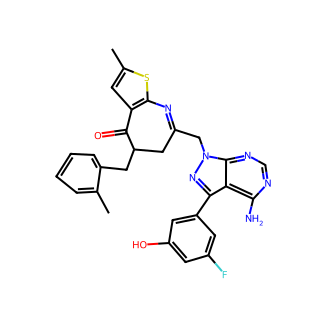 Cc1cc2c(s1)N=C(Cn1nc(-c3cc(O)cc(F)c3)c3c(N)ncnc31)CC(Cc1ccccc1C)C2=O